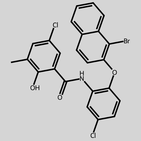 Cc1cc(Cl)cc(C(=O)Nc2cc(Cl)ccc2Oc2ccc3ccccc3c2Br)c1O